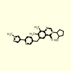 Cc1c(Cc2ccc(-c3cnn(C)c3)nc2)cc2c(=O)n(C3CCCC3O)cnc2c1C